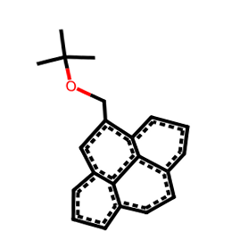 CC(C)(C)OCc1cc2cccc3ccc4cccc1c4c32